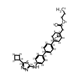 CCCOC(=O)CC12CCC(c3ccc(-c4ccc(Nc5nnc(C6CCC6)s5)cc4)cc3)(CC1)CO2